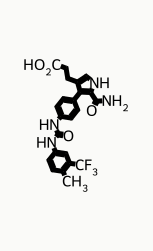 Cc1ccc(NC(=O)Nc2ccc(-c3c(CCC(=O)O)c[nH]c3C(N)=O)cc2)cc1C(F)(F)F